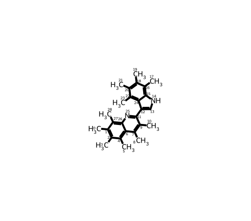 Cc1c(C)c(C)c2c(C)c(C)c(-c3c[nH]c4c(C)c(C)c(C)c(C)c34)nc2c1C